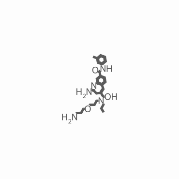 CCCN(CCCOCCCN)C(O)C1=Cc2ccc(C(=O)Nc3cccc(C)c3)cc2N=C(N)C1